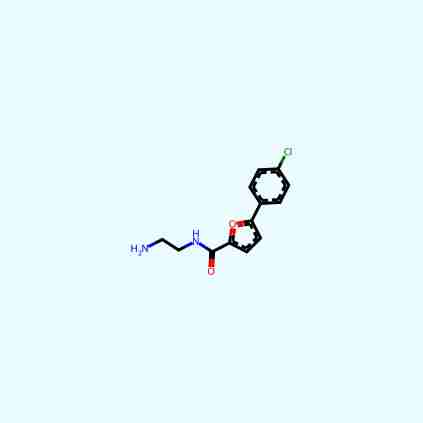 NCCNC(=O)c1ccc(-c2ccc(Cl)cc2)o1